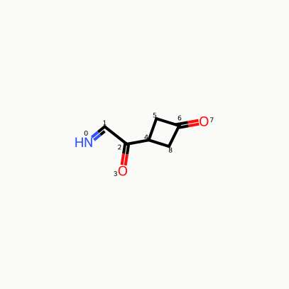 N=CC(=O)C1CC(=O)C1